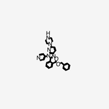 O=C(OCc1ccccc1)c1ccccc1-c1nc2ccc(N3CCNCC3)nc2n1-c1ccncc1